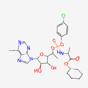 Cc1ncnc2c1ncn2C1OC(C(C)OP(=O)(NC(C)C(=O)OC2CCCCC2)Oc2ccc(Cl)cc2)[C@@H](O)[C@H]1O